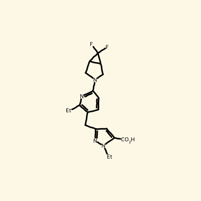 CCc1nc(N2CC3C(C2)C3(F)F)ccc1Cc1cc(C(=O)O)n(CC)n1